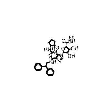 CCNC(=O)[C@H]1O[C@@H](n2cnc3c(NCC(c4ccccc4)c4ccccc4)nc(NC4CCCC4O)nc32)[C@H](O)[C@@H]1O